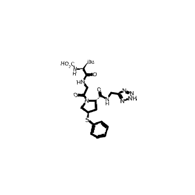 CC[C@H](C)[C@H](NC(=O)O)C(=O)NCC(=O)N1C[C@H](Sc2ccccc2)C[C@H]1C(=O)NCc1nn[nH]n1